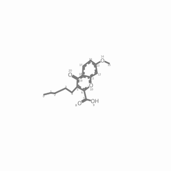 CCCCCc1c(C(=O)O)oc2cc(OC)ccc2c1=O